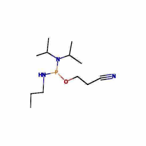 CCCNP(OCCC#N)N(C(C)C)C(C)C